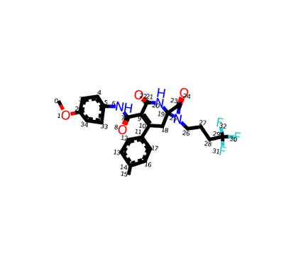 COc1ccc(NC(=O)C2=C(c3ccc(C)cc3)CC3(NC2=O)C(=O)N3CCCC(F)(F)F)cc1